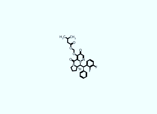 CC(C)CC(=O)OCOc1c2n(ncc1=O)[C@@H]([C@H](c1ccccc1)c1cccc(F)c1F)[C@H]1CCCN1C2=O